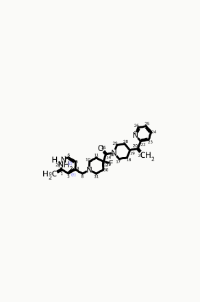 C=C(N)/C=C(\C=C/N)CN1CCC(F)(C(=O)N2CCC(C(=C)c3ccccn3)CC2)CC1